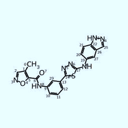 Cc1cnoc1C(=O)Nc1cccc(-c2nnc(Nc3ccc4[nH]ncc4c3)s2)c1